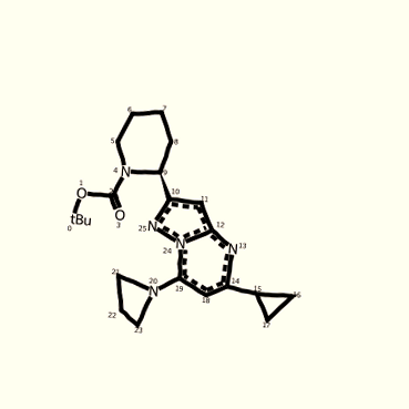 CC(C)(C)OC(=O)N1CCCC[C@H]1c1cc2nc(C3CC3)cc(N3CCC3)n2n1